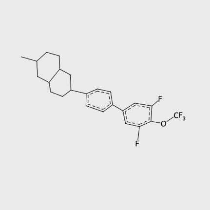 CC1CCC2CC(c3ccc(-c4cc(F)c(OC(F)(F)F)c(F)c4)cc3)CCC2C1